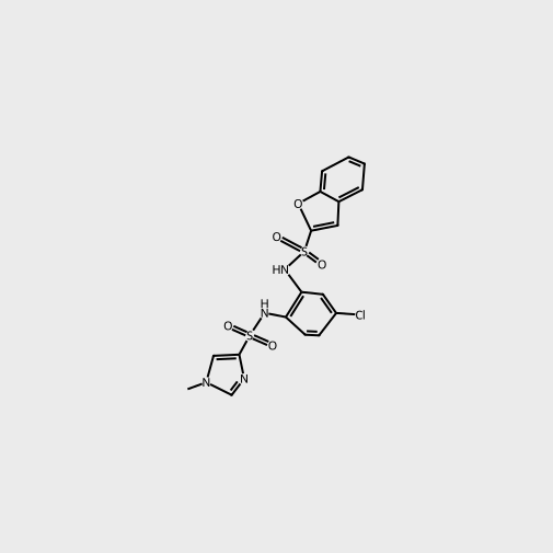 Cn1cnc(S(=O)(=O)Nc2ccc(Cl)cc2NS(=O)(=O)c2cc3ccccc3o2)c1